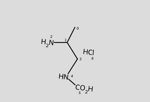 CC(N)CNC(=O)O.Cl